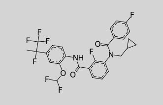 CC(F)(c1ccc(NC(=O)c2cccc(N(CC3CC3)C(=O)c3ccc(F)cc3)c2F)c(OC(F)F)c1)C(F)(F)F